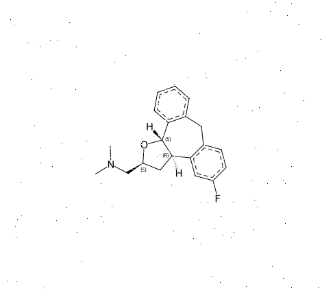 CN(C)C[C@@H]1C[C@@H]2c3cc(F)ccc3Cc3ccccc3[C@H]2O1